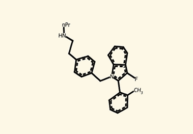 CCCNCCc1ccc(Cn2c(-c3ccccc3C)c(F)c3ccccc32)cc1